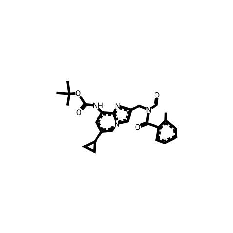 Cc1ccccc1C(=O)N(C=O)Cc1cn2cc(C3CC3)cc(NC(=O)OC(C)(C)C)c2n1